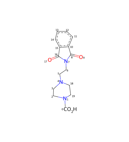 O=C(O)N1CCN(CCN2C(=O)c3ccccc3C2=O)CC1